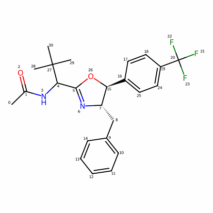 CC(=O)NC(C1=N[C@@H](Cc2ccccc2)[C@H](c2ccc(C(F)(F)F)cc2)O1)C(C)(C)C